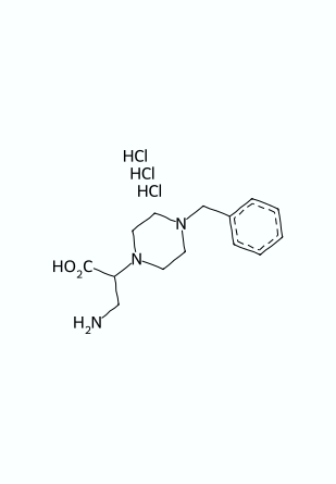 Cl.Cl.Cl.NCC(C(=O)O)N1CCN(Cc2ccccc2)CC1